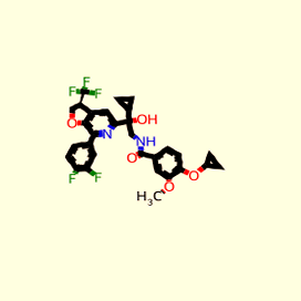 COc1cc(C(=O)NCC(O)(c2cc3c(c(-c4ccc(F)c(F)c4)n2)OC[C@H]3C(F)(F)F)C2CC2)ccc1OC1CC1